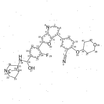 N#Cc1cc(-c2ccnc3cc(-c4ccc(C(O)NC5CN6CCC5CC6)cc4F)oc23)ccc1OC1CCOCC1